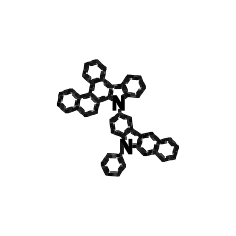 c1ccc(-n2c3ccc(-n4c5ccccc5c5c6ccccc6c6c7ccccc7ccc6c54)cc3c3cc4ccccc4cc32)cc1